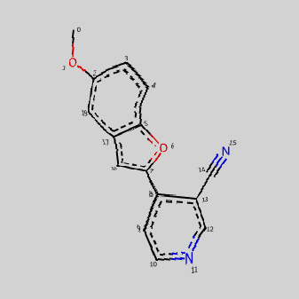 COc1ccc2oc(-c3ccncc3C#N)cc2c1